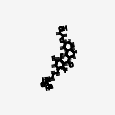 O=C(c1ccc2ncc(OCCO)cc2c1)c1c(F)c(F)cc(CCCN[SH](=O)=O)c1F